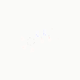 COc1cc(NC(=O)NC(=O)C(Br)C(C)Br)cc(OC)c1OC